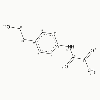 CC(=O)C(=O)Nc1ccc(CC[O])cc1